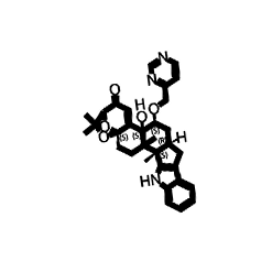 CC1(C)O[C@@]23CCC4(C)[C@@]5(C)c6[nH]c7ccccc7c6C[C@@H]5C[C@H](OCc5ccncn5)[C@@]4(O)C2=CC(=O)C1O3